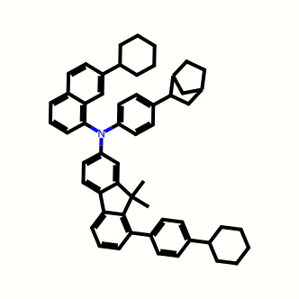 CC1(C)c2cc(N(c3ccc(C4CC5CCC4C5)cc3)c3cccc4ccc(C5CCCCC5)cc34)ccc2-c2cccc(-c3ccc(C4CCCCC4)cc3)c21